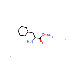 NOC(=O)C(N)CC1CCCCC1